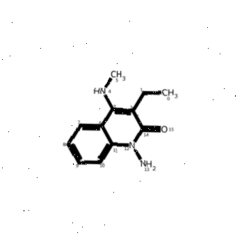 CCc1c(NC)c2ccccc2n(N)c1=O